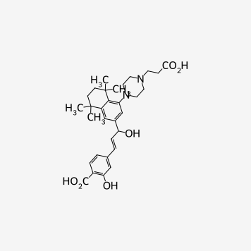 CC1(C)CCC(C)(C)c2c(N3CCN(CCC(=O)O)CC3)cc(C(O)/C=C/c3ccc(C(=O)O)c(O)c3)cc21